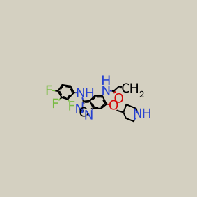 C=CC(=O)Nc1cc2c(Nc3ccc(F)c(F)c3F)ncnc2cc1OCC1CCNCC1